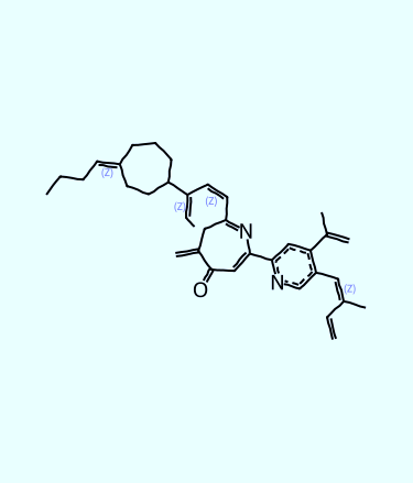 C=C/C(C)=C\c1cnc(C2=CC(=O)C(=C)CC(/C=C\C(=C/C)C3CCC/C(=C/CCC)CC3)=N2)cc1C(=C)C